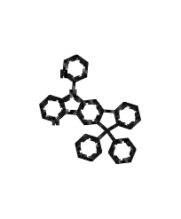 c1ccc(C2(c3ccccc3)c3ccccc3-c3cc4c(cc32)c2ncccc2n4-c2ccccn2)cc1